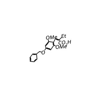 CCC(=Cc1c(OC)cc(OCc2ccccc2)cc1OC)C(=O)O